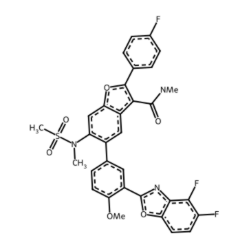 CNC(=O)c1c(-c2ccc(F)cc2)oc2cc(N(C)S(C)(=O)=O)c(-c3ccc(OC)c(-c4nc5c(F)c(F)ccc5o4)c3)cc12